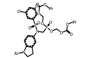 CC(=O)N1CCc2cc(N(CP(=O)(OCOC(=O)OC(C)C)OCOC(=O)OC(C)C)S(=O)(=O)c3cc(Cl)cc(Cl)c3)ccc21